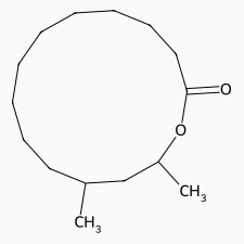 CC1CCCCCCCCCC(=O)OC(C)C1